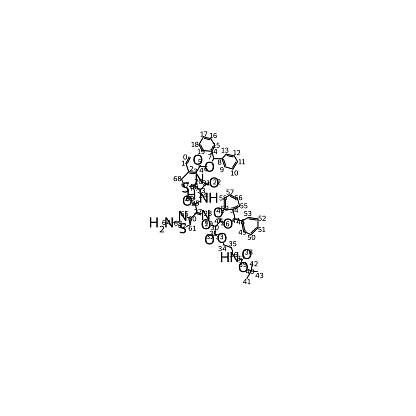 C=CC1=C(C(=O)OC(c2ccccc2)c2ccccc2)N2C(=O)C(NC(=O)C(=NOC(C(=O)OCCNC(=O)OC(C)(C)C)C(=O)OC(c3ccccc3)c3ccccc3)c3csc(N)n3)[C@@H]2SC1